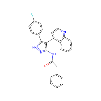 O=C(Cc1ccccc1)Nc1n[nH]c(-c2ccc(F)cc2)c1-c1ccnc2ccccc12